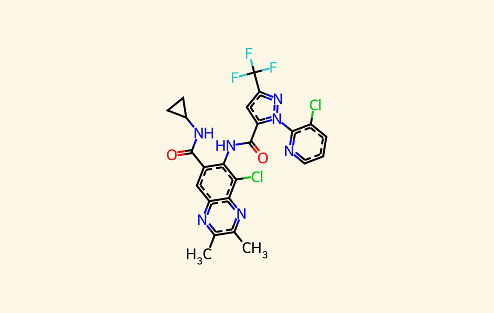 Cc1nc2cc(C(=O)NC3CC3)c(NC(=O)c3cc(C(F)(F)F)nn3-c3ncccc3Cl)c(Cl)c2nc1C